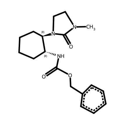 CN1CCN([C@@H]2CCCC[C@H]2NC(=O)OCc2ccccc2)C1=O